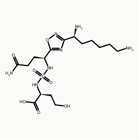 NCCCCC[C@H](N)c1noc([C@H](CCC(N)=O)NS(=O)(=O)N[C@@H](CCO)C(=O)O)n1